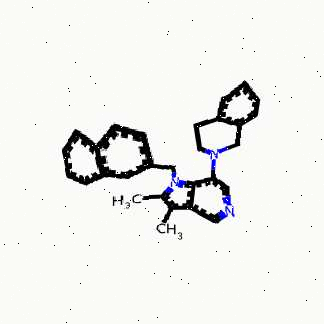 Cc1c(C)n(Cc2ccc3ccccc3c2)c2c(N3CCc4ccccc4C3)cncc12